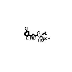 CC(C)C[C@H](NC(=O)C1CC(c2cc(Cl)ccc2Cl)=NO1)B(O)O